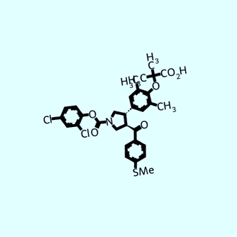 CSc1ccc(C(=O)[C@H]2CN(C(=O)Oc3ccc(Cl)cc3Cl)C[C@@H]2c2cc(C)c(OC(C)(C)C(=O)O)c(C)c2)cc1